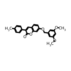 COc1cc(COc2ccc3cc(-c4ccc(C)cc4)c(=O)oc3c2)cc(OC)c1